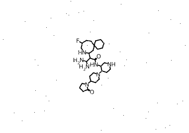 NC(N)C(C(=O)NC1CNCCC1N1CCC(N2CCCC2=O)CC1)C1CC2(CCCCC2)CCC(F)CN1